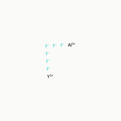 [Al+3].[F-].[F-].[F-].[F-].[F-].[F-].[Y+3]